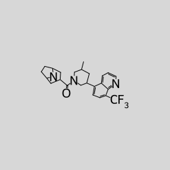 CC1CC(c2ccc(C(F)(F)F)c3ncccc23)CN(C(=O)C2CC3CCC(C2)N3C)C1